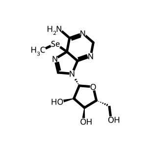 C[Se]C12N=CN([C@@H]3O[C@H](CO)[C@@H](O)[C@H]3O)C1=NCN=C2N